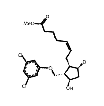 COC(=O)CCC/C=C\C[C@@H]1[C@@H](COc2cc(Cl)cc(Cl)c2)[C@H](O)C[C@@H]1Cl